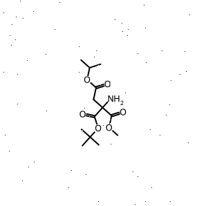 COC(=O)C(N)(CC(=O)OC(C)C)C(=O)OC(C)(C)C